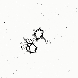 CC1(C)C2C=CC1(C)C(S(=O)(=O)O)C2.Cc1ccccn1